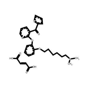 CN(C)CCCCCCOc1ccccc1Oc1ncccc1C(=O)c1cccs1.O=C(O)C=CC(=O)O